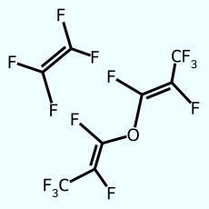 FC(F)=C(F)F.FC(OC(F)=C(F)C(F)(F)F)=C(F)C(F)(F)F